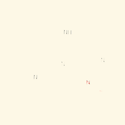 C1=CCNC(C(c2ccccn2)N(Cc2ccccn2)Cc2ccccn2)=C1